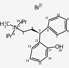 CC(C)[N+](C)(CC[C@@H](c1ccccc1)c1ccccc1O)C(C)C.[Br-]